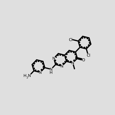 Cn1c(=O)c(-c2c(Cl)cccc2Cl)cc2cnc(Nc3cccc(N)n3)nc21